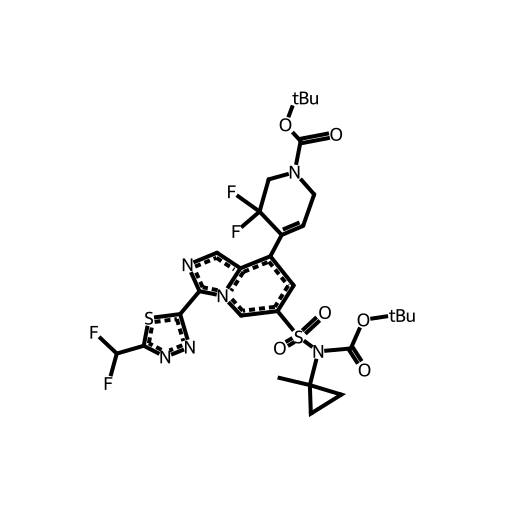 CC(C)(C)OC(=O)N1CC=C(c2cc(S(=O)(=O)N(C(=O)OC(C)(C)C)C3(C)CC3)cn3c(-c4nnc(C(F)F)s4)ncc23)C(F)(F)C1